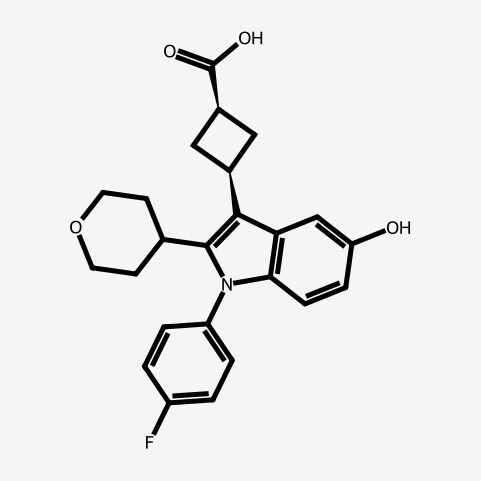 O=C(O)[C@H]1C[C@@H](c2c(C3CCOCC3)n(-c3ccc(F)cc3)c3ccc(O)cc32)C1